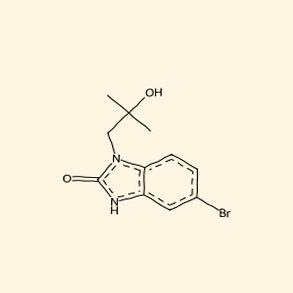 CC(C)(O)Cn1c(=O)[nH]c2cc(Br)ccc21